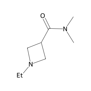 CCN1CC(C(=O)N(C)C)C1